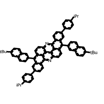 CC(C)c1ccc(-c2ccc3c(c2)c(-c2ccc4cc(C(C)(C)C)ccc4c2)c2ccc4nc5c6ccc(-c7ccc(C(C)C)cc7)cc6c(-c6ccc7cc(C(C)(C)C)ccc7c6)c6ccc7nc3c2c4c7c65)cc1